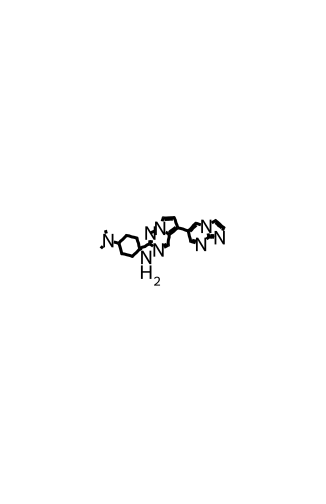 CN(C)C1CCC(N)(c2ncc3c(-c4cnc5nccn5c4)ccn3n2)CC1